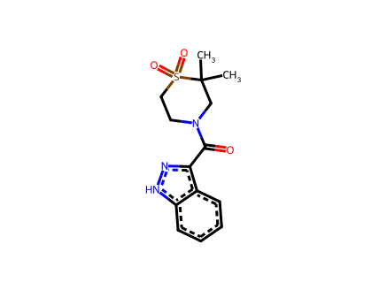 CC1(C)CN(C(=O)c2n[nH]c3ccccc23)CCS1(=O)=O